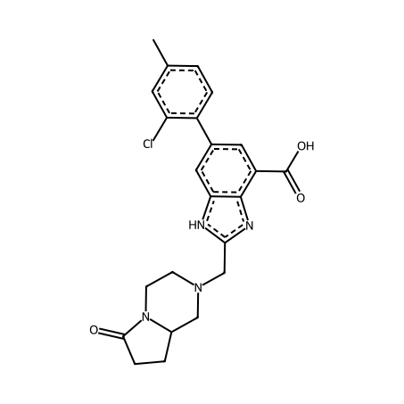 Cc1ccc(-c2cc(C(=O)O)c3nc(CN4CCN5C(=O)CCC5C4)[nH]c3c2)c(Cl)c1